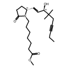 CCC#CCC(C)(C)[C@H](O)C=C[C@H]1CCC(=O)N1CCCCCCC(=O)OC